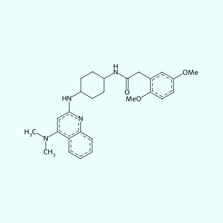 COc1ccc(OC)c(CC(=O)NC2CCC(Nc3cc(N(C)C)c4ccccc4n3)CC2)c1